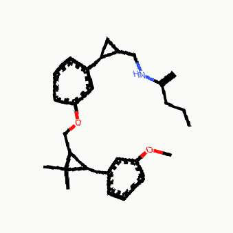 C=C(CCC)NCC1CC1c1cccc(OCC2C(c3cccc(OC)c3)C2(C)C)c1